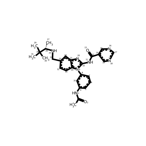 CC(=O)Nc1cccc(-n2c(NC(=O)c3cncnc3)nc3cc(CN[C@@H](C)C(C)(C)C)ccc32)c1